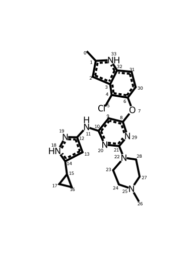 Cc1cc2c(Cl)c(Oc3cc(Nc4cc(C5CC5)[nH]n4)nc(N4CCN(C)CC4)n3)ccc2[nH]1